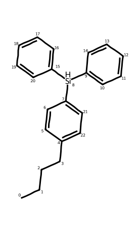 CCCCc1ccc([SiH](c2ccccc2)c2ccccc2)cc1